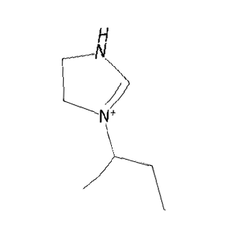 CCC(C)[N+]1=CNCC1